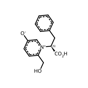 O=C(O)[C@H](Cc1ccccc1)[n+]1cc([O-])ccc1CO